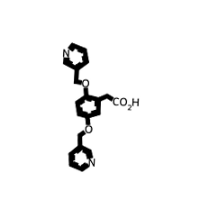 O=C(O)Cc1cc(OCc2cccnc2)ccc1OCc1cccnc1